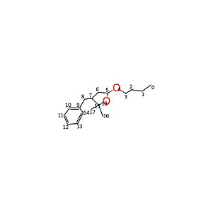 CCCCOC1CC(Cc2ccccc2)C(C)(C)O1